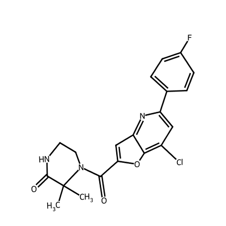 CC1(C)C(=O)NCCN1C(=O)c1cc2nc(-c3ccc(F)cc3)cc(Cl)c2o1